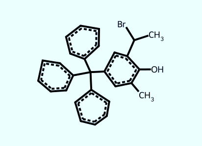 Cc1cc(C(c2ccccc2)(c2ccccc2)c2ccccc2)cc(C(C)Br)c1O